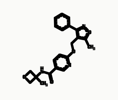 Cc1onc(-c2ccccc2)c1COc1ccc(C(=O)NC2(C)COC2)cn1